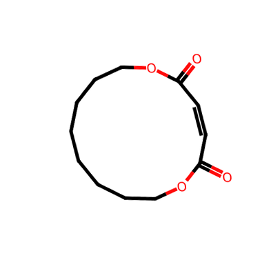 O=C1C=CC(=O)OCCCCCCCCO1